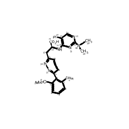 COc1cccc(OC)c1-c1ccc(C[C@H](Nc2nc(N(C)C)ncc2C(C)C)C(=O)O)nn1